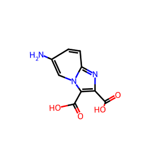 Nc1ccc2nc(C(=O)O)c(C(=O)O)n2c1